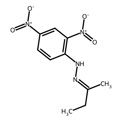 CC/C(C)=N/Nc1ccc([N+](=O)[O-])cc1[N+](=O)[O-]